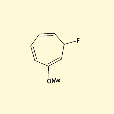 COC1=CC(F)C=CC=C1